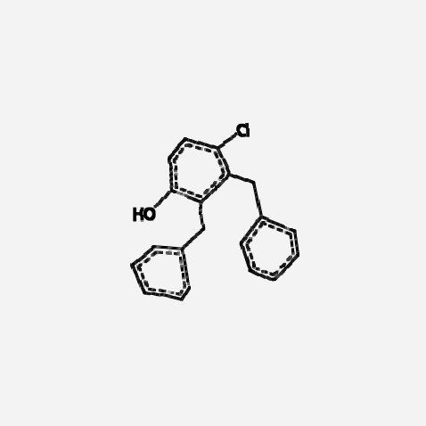 Oc1ccc(Cl)c(Cc2ccccc2)c1Cc1ccccc1